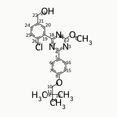 COc1nc(-c2ccc(OCC(C)(C)C)cc2)nc(-c2cc(CO)ccc2Cl)n1